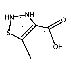 CC1=C(C(=O)O)NNS1